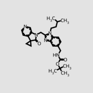 CC(C)CCn1c(CN2C(=O)C3(CC3)c3ccncc32)nc2cc(CNC(=O)OC(C)(C)C)ccc21